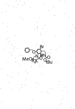 COC(=O)CN(C(=O)C(F)(F)F)c1c(OCc2ccccc2)cc(Br)c(C[C@H](C)NC(=O)OC(C)(C)C)c1F